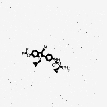 CC(OC(=O)Nc1ccc(-c2c(C#N)c3ccc(OC(F)F)cc3n2CC2CC2)cc1)C1CC1